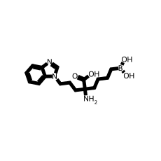 NC(CCCCB(O)O)(CCCn1cnc2ccccc21)C(=O)O